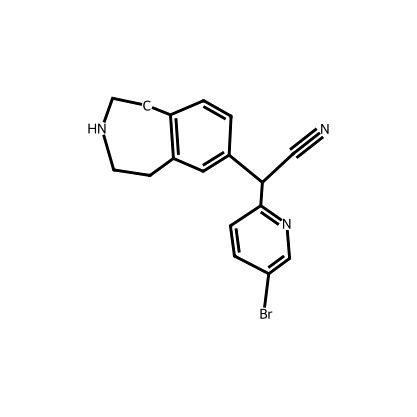 N#CC(c1ccc2c(c1)CCNCC2)c1ccc(Br)cn1